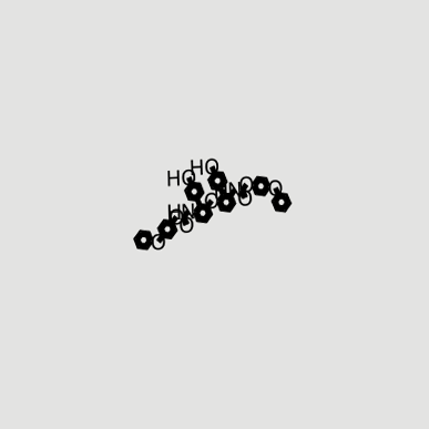 O=C(Nc1cccc(Oc2cccc(NC(=O)Oc3ccc(Oc4ccccc4)cc3)c2-c2ccc(O)cc2)c1-c1ccc(O)cc1)Oc1ccc(Oc2ccccc2)cc1